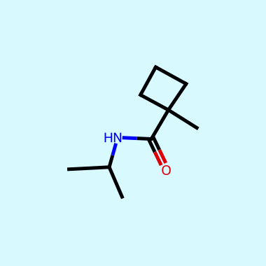 CC(C)NC(=O)C1(C)CCC1